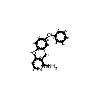 Nc1nccc(Oc2ccc(Oc3ccccc3)cc2)c1I